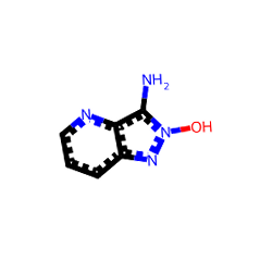 Nc1c2ncccc2nn1O